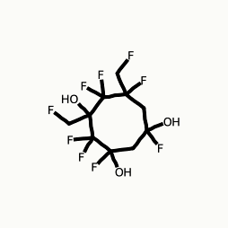 OC1(F)CC(O)(F)C(F)(F)C(O)(CF)C(F)(F)C(F)(CF)C1